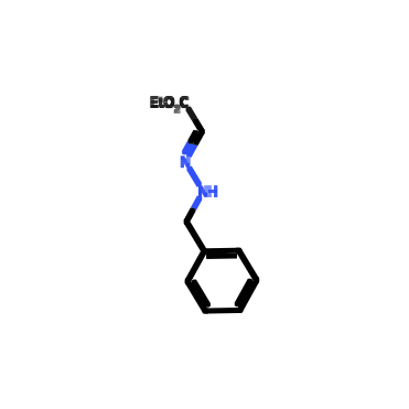 CCOC(=O)/C=N/NCc1ccccc1